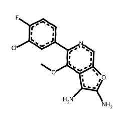 COc1c(-c2ccc(F)c(Cl)c2)ncc2oc(N)c(N)c12